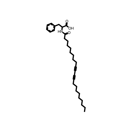 CCCCCCCCCC#CC#CCCCCCCCCC(=O)NC(Cc1ccccc1)C(=O)O